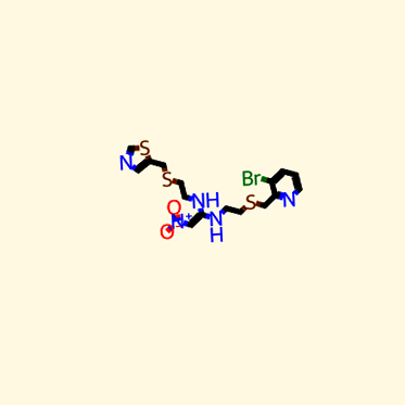 O=[N+]([O-])/C=C(\NCCSCc1cncs1)NCCSCc1ncccc1Br